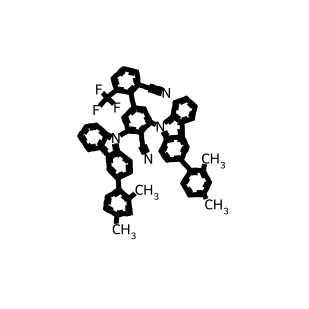 Cc1ccc(-c2ccc3c(c2)c2ccccc2n3-c2cc(-c3c(C#N)cccc3C(F)(F)F)cc(-n3c4ccccc4c4cc(-c5ccc(C)cc5C)ccc43)c2C#N)c(C)c1